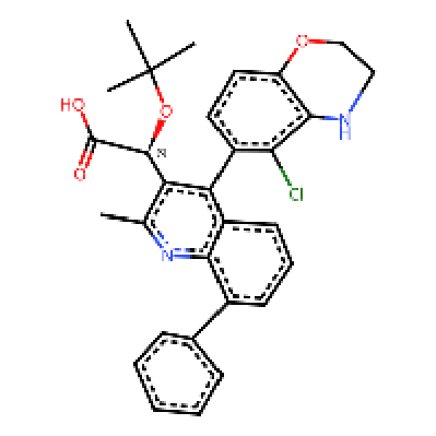 Cc1nc2c(-c3ccccc3)cccc2c(-c2ccc3c(c2Cl)NCCO3)c1[C@H](OC(C)(C)C)C(=O)O